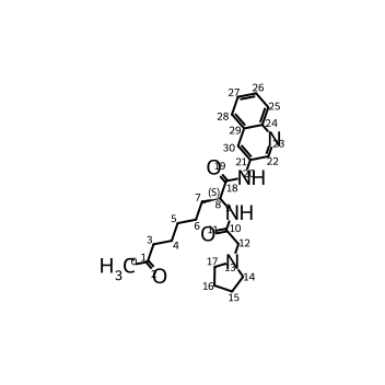 CC(=O)CCCCC[C@H](NC(=O)CN1CCCC1)C(=O)Nc1cnc2ccccc2c1